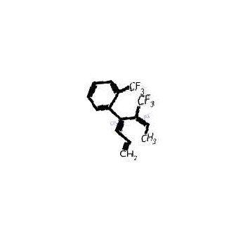 C=C/C=C(\C(=C/C)C(F)(F)F)c1ccccc1C(F)(F)F